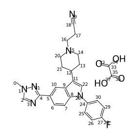 Cn1cnc(-c2ccc3c(c2)c(C2CCN(CCC#N)CC2)cn3-c2ccc(F)cc2)n1.O=C(O)C(=O)O